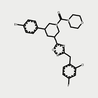 CCc1ccc(C2CC(c3nc(Cc4ccc(F)cc4Cl)no3)CN(C(=O)N3CCOCC3)C2)cc1